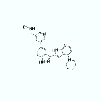 CCNCc1cncc(-c2ccc3[nH]nc(-c4cc5c(N6CCCCC6)ccnc5[nH]4)c3c2)c1